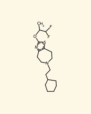 CC(Oc1nc2c(s1)CCN(CCC1CCCCC1)CC2)C(F)F